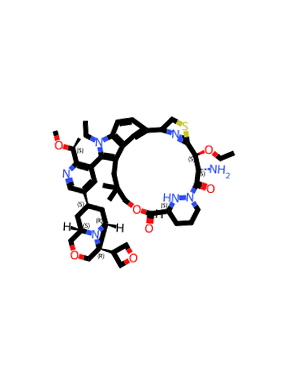 CCO[C@@H]1C2=NC(CS2)c2ccc3c(c2)c(c(-c2cc([C@@H]4C[C@H]5COC[C@@]6(C7COC7)[C@@H](C4)N56)cnc2[C@H](C)OC)n3CC)CC(C)(C)COC(=O)[C@@H]2CCCN(N2)C(=O)[C@H]1N